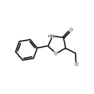 O=C1NC(c2ccccc2)OC1CCl